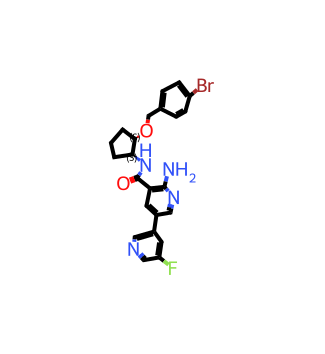 Nc1ncc(-c2cncc(F)c2)cc1C(=O)N[C@H]1CCC[C@@H]1OCc1ccc(Br)cc1